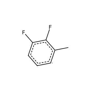 Cc1[c]ccc(F)c1F